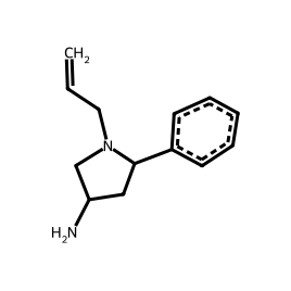 C=CCN1CC(N)CC1c1ccccc1